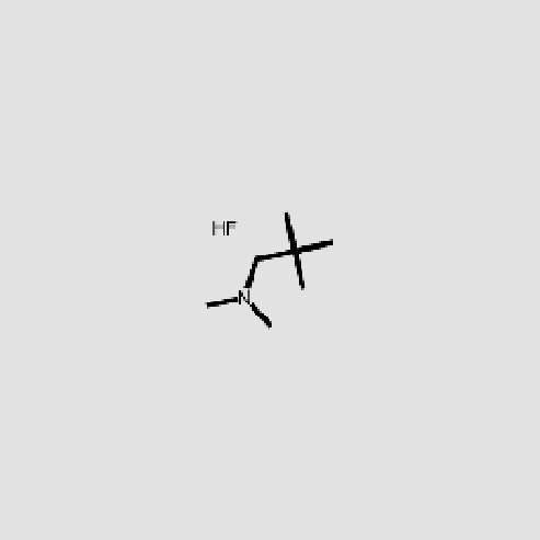 CN(C)CC(C)(C)C.F